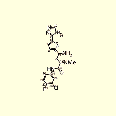 CNC(CC(N)c1ccc(-c2nncn2C)s1)C(=O)Nc1ccc(F)c(Cl)c1